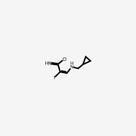 N=C(Cl)/C(I)=C\NCC1CC1